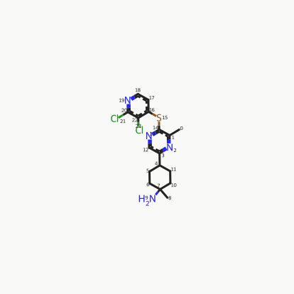 Cc1nc(C2CCC(C)(N)CC2)cnc1Sc1ccnc(Cl)c1Cl